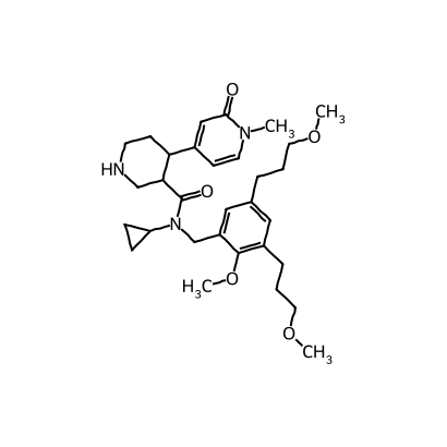 COCCCc1cc(CCCOC)c(OC)c(CN(C(=O)C2CNCCC2c2ccn(C)c(=O)c2)C2CC2)c1